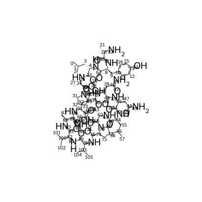 CC(C)C[C@H](NC(=O)[C@H](Cc1ccc(O)cc1)NC(=O)[C@H](C)N)C(=O)N[C@@H](C)C(=O)N1CCC[C@H]1C(=O)N[C@@H](CC(N)=O)C(=O)N[C@@H](CC(N)=O)C(=O)N[C@@H](CC(C)C)C(=O)N[C@@H](CCCCN)C(=O)N1CCC[C@H]1C(=O)N[C@H](C(=O)N[C@H](C(=O)N[C@@H](C)C(=O)N[C@@H](CCC(=O)O)C(=O)O)C(C)C)C(C)C